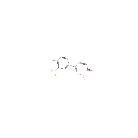 Cn1nc(-c2ccc(Cl)c(S(N)(=O)=O)c2)ccc1=O